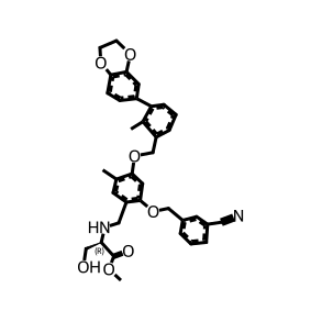 COC(=O)[C@@H](CO)NCc1cc(C)c(OCc2cccc(-c3ccc4c(c3)OCCO4)c2C)cc1OCc1cccc(C#N)c1